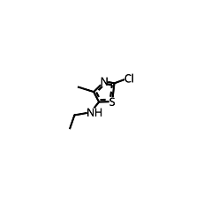 CCNc1sc(Cl)nc1C